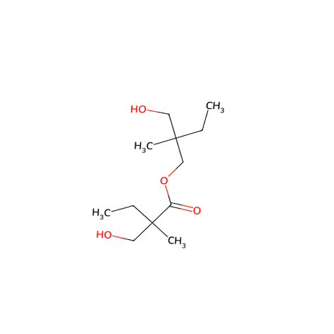 CCC(C)(CO)COC(=O)C(C)(CC)CO